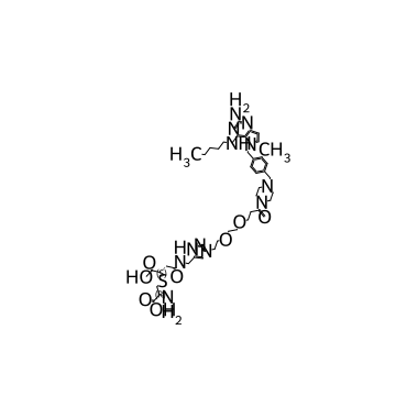 CCCCCNc1nc(N)nc2ccn(Cc3ccc(CN4CCN(C(=O)CCOCCOCCn5cc(CNC(=O)C[C@H](SC[C@H](N)C(=O)O)C(=O)O)nn5)CC4)cc3C)c12